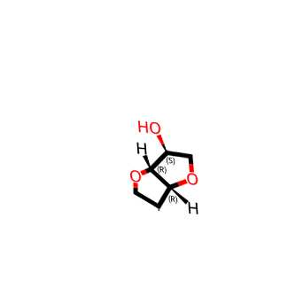 O[C@H]1CO[C@@H]2[CH]CO[C@H]12